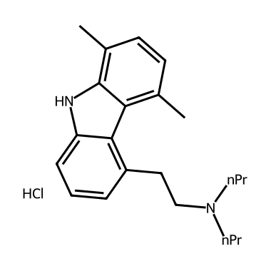 CCCN(CCC)CCc1cccc2[nH]c3c(C)ccc(C)c3c12.Cl